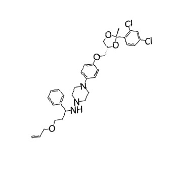 C=CCOCCC(NN1CCN(c2ccc(OC[C@@H]3CO[C@](C)(c4ccc(Cl)cc4Cl)O3)cc2)CC1)c1ccccc1